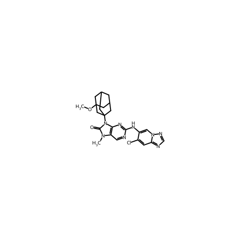 COC12CC3CC(C1)CC(n1c(=O)n(C)c4cnc(Nc5cn6ncnc6cc5Cl)nc41)(C3)C2